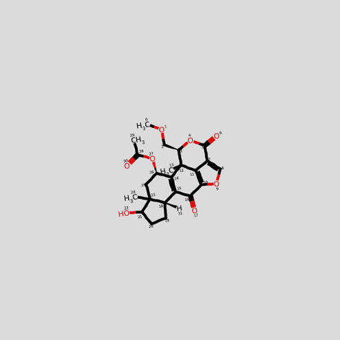 COC[C@H]1OC(=O)c2coc3c2C1(C)C1=C(C3=O)[C@@H]2CCC(O)C2(C)C[C@H]1OC(C)=O